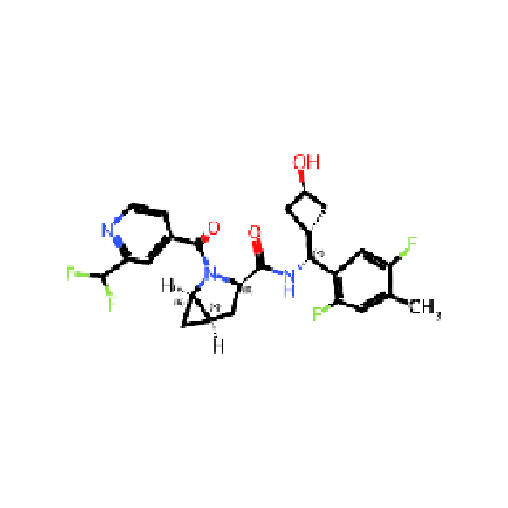 Cc1cc(F)c([C@H](NC(=O)[C@H]2C[C@H]3C[C@H]3N2C(=O)c2ccnc(C(F)F)c2)[C@H]2C[C@H](O)C2)cc1F